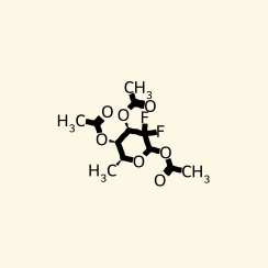 CC(=O)OC1O[C@H](C)[C@H](OC(C)=O)[C@H](OC(C)=O)C1(F)F